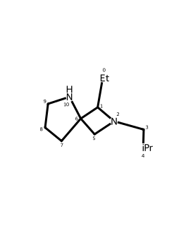 CCC1N(CC(C)C)CC12CCCN2